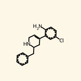 Nc1ccc(Cl)cc1C1=CCNC(Cc2ccccc2)C1